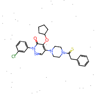 O=c1c(OC2CCCC2)c(N2CCN(C(=S)Cc3ccccc3)CC2)cnn1-c1cccc(Cl)c1